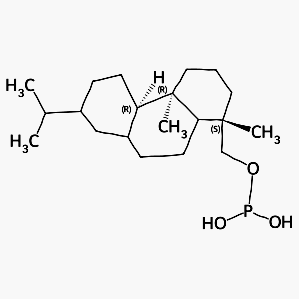 CC(C)C1CC[C@@H]2C(CCC3[C@@](C)(COP(O)O)CCC[C@@]32C)C1